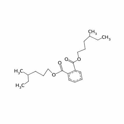 CCC(C)CCCOC(=O)c1ccccc1C(=O)OCCCC(C)CC